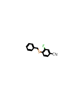 N#Cc1ccc(SCc2ccccc2)c(F)c1